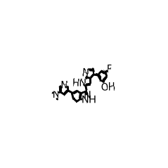 CN(C)c1cncc(-c2ccc3[nH]nc(-c4cc5c(-c6cc(O)cc(F)c6)ccnc5[nH]4)c3c2)c1